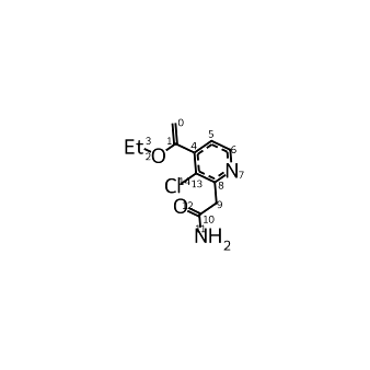 C=C(OCC)c1ccnc(CC(N)=O)c1Cl